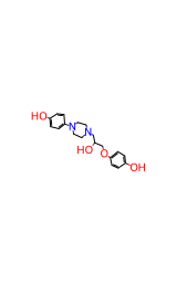 Oc1ccc(OCC(O)CN2CCN(c3ccc(O)cc3)CC2)cc1